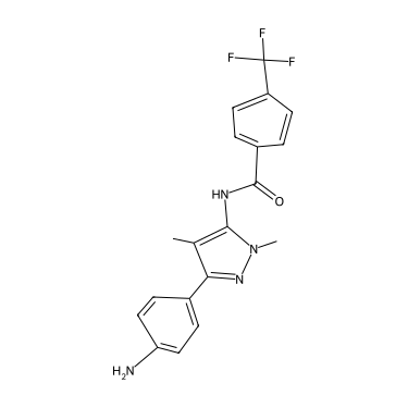 Cc1c(-c2ccc(N)cc2)nn(C)c1NC(=O)c1ccc(C(F)(F)F)cc1